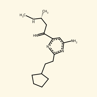 CN[C@H](C)CC(=N)c1cc(N)nc(CCC2CCCC2)n1